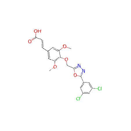 COc1cc(C=CC(=O)O)cc(OC)c1OCc1nnc(-c2cc(Cl)cc(Cl)c2)o1